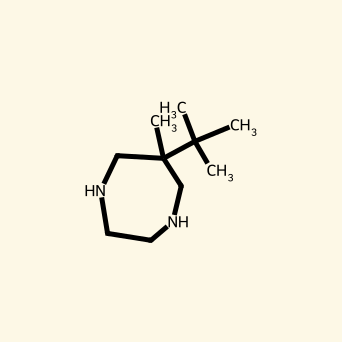 CC(C)(C)C1(C)CNCCNC1